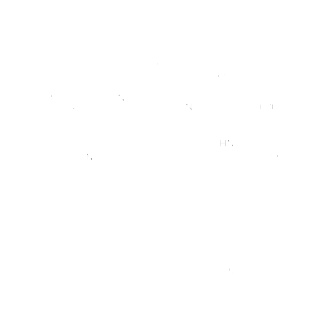 CCCC(NC(=O)c1ccc(C(F)(F)F)cc1)C(=O)N1CCC2C1C(=O)CN2S(=O)(=O)C(=O)c1ccccn1